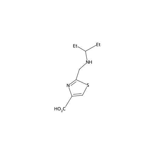 CCC(CC)NCc1nc(C(=O)O)cs1